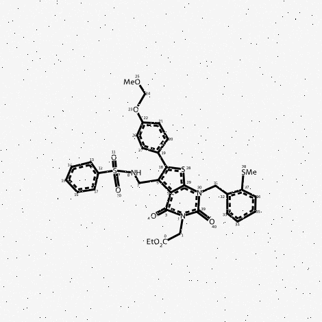 CCOC(=O)Cn1c(=O)c2c(CNS(=O)(=O)c3ccccc3)c(-c3ccc(OCOC)cc3)sc2n(Cc2ccccc2SC)c1=O